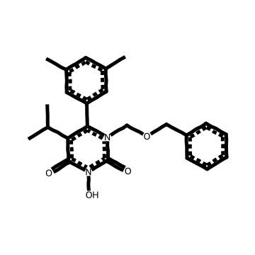 Cc1cc(C)cc(-c2c(C(C)C)c(=O)n(O)c(=O)n2COCc2ccccc2)c1